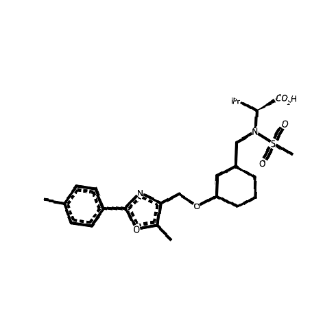 Cc1ccc(-c2nc(COC3CCCC(CN([C@H](C(=O)O)C(C)C)S(C)(=O)=O)C3)c(C)o2)cc1